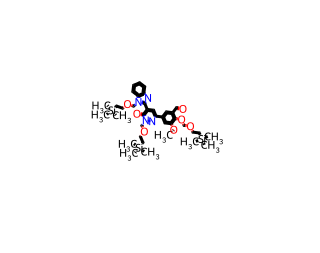 COc1cc(-c2cc(-c3nc4ccccc4n3COCC[Si](C)(C)C)c(=O)n(COCC[Si](C)(C)C)n2)cc(C=O)c1OCOCC[Si](C)(C)C